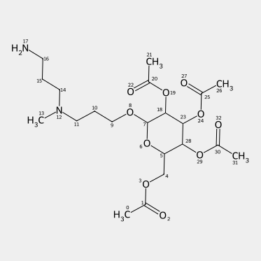 CC(=O)OCC1OC(OCCCN(C)CCCN)C(OC(C)=O)C(OC(C)=O)C1OC(C)=O